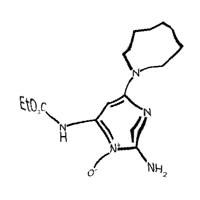 CCOC(=O)Nc1cc(N2CCCCC2)nc(N)[n+]1[O-]